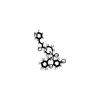 O=C(CCc1cccnc1)N1CCCN(C(=O)N2Cc3ccccc3Oc3ccc(Cl)cc32)CC1